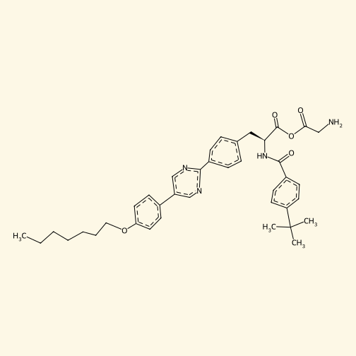 CCCCCCCOc1ccc(-c2cnc(-c3ccc(C[C@H](NC(=O)c4ccc(C(C)(C)C)cc4)C(=O)OC(=O)CN)cc3)nc2)cc1